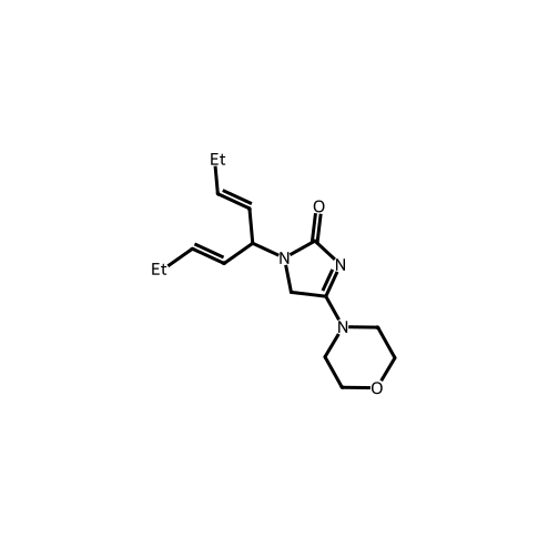 CCC=CC(C=CCC)N1CC(N2CCOCC2)=NC1=O